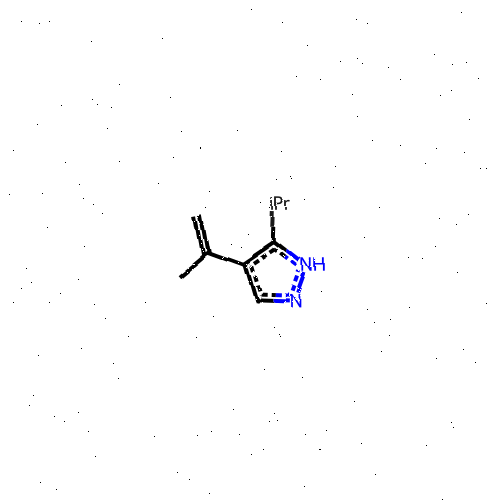 C=C(C)c1cn[nH]c1C(C)C